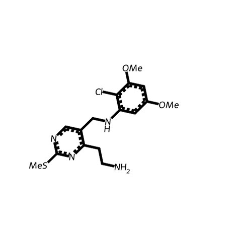 COc1cc(NCc2cnc(SC)nc2CCN)c(Cl)c(OC)c1